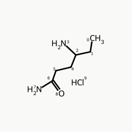 CCC(N)CCC(N)=O.Cl